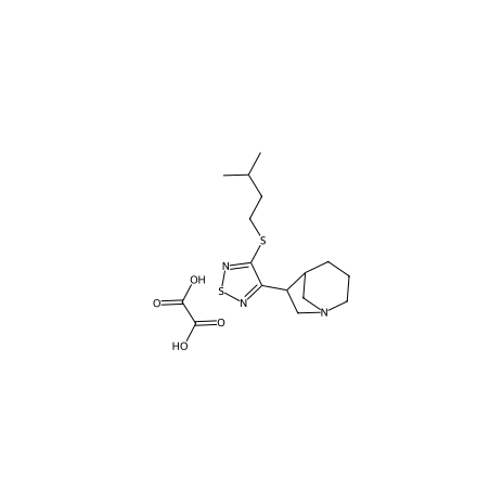 CC(C)CCSc1nsnc1C1CN2CCCC1C2.O=C(O)C(=O)O